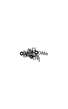 COc1ccc(-c2cc3c(N[C@@H]4CC[C@](C)(N)C4(C)C)c(/C(N)=N/c4ccccc4Cl)cnn3c2)c(Cl)c1